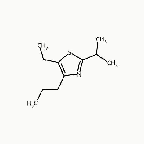 CCCc1nc(C(C)C)sc1CC